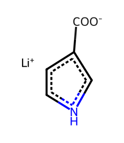 O=C([O-])c1cc[nH]c1.[Li+]